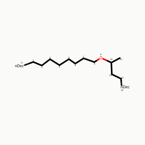 CCCCCCCCCCCCCCCCCCOC(C)CCCCCCCCCCCC